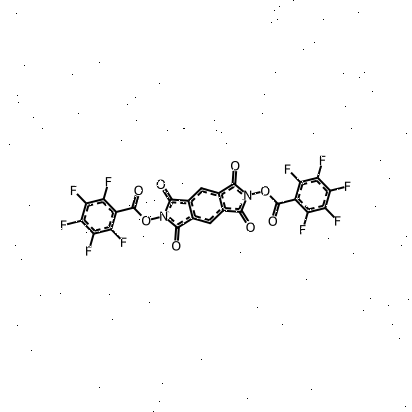 O=C(On1c(=O)c2cc3c(=O)n(OC(=O)c4c(F)c(F)c(F)c(F)c4F)c(=O)c3cc2c1=O)c1c(F)c(F)c(F)c(F)c1F